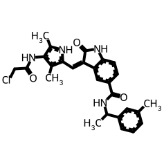 Cc1cccc(C(C)NC(=O)c2ccc3c(c2)/C(=C/c2[nH]c(C)c(NC(=O)CCl)c2C)C(=O)N3)c1